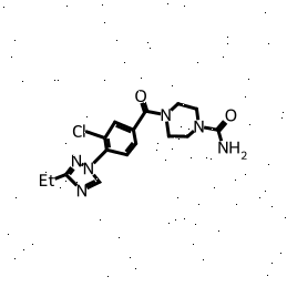 CCc1ncn(-c2ccc(C(=O)N3CCN(C(N)=O)CC3)cc2Cl)n1